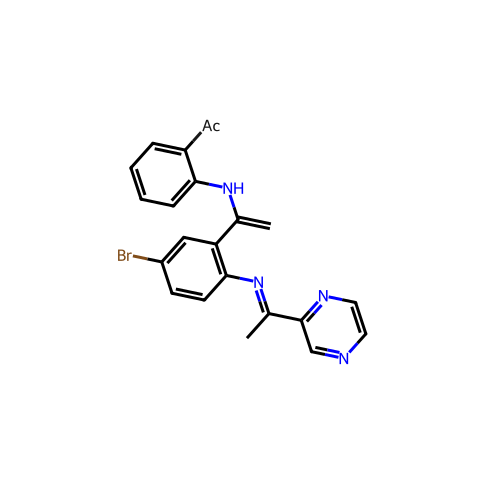 C=C(Nc1ccccc1C(C)=O)c1cc(Br)ccc1/N=C(\C)c1cnccn1